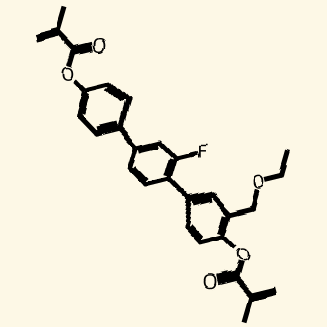 C=C(C)C(=O)Oc1ccc(-c2ccc(-c3ccc(OC(=O)C(=C)C)c(COCC)c3)c(F)c2)cc1